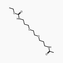 CCOC(=O)NCCCOCCOCCCNC(C)=O